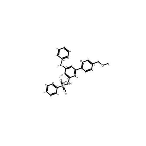 COCc1ccc(-c2cc(Oc3ccccc3)nc(NS(=O)(=O)c3ccccc3)n2)cc1